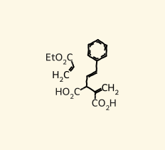 C=C(C(=O)O)C(C=Cc1ccccc1)C(=O)O.C=CC(=O)OCC